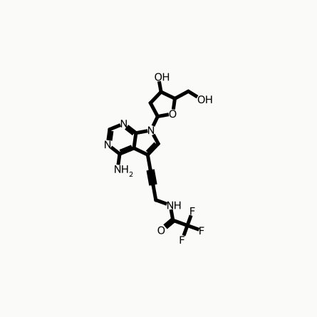 Nc1ncnc2c1c(C#CCNC(=O)C(F)(F)F)cn2C1CC(O)C(CO)O1